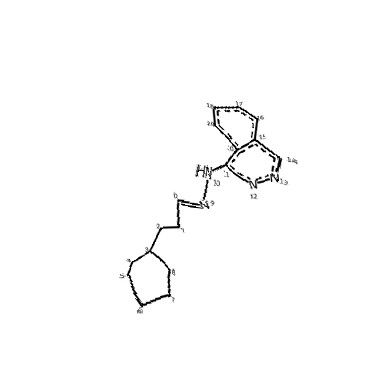 C(/CCC1CCCCC1)=N\Nc1nncc2ccccc12